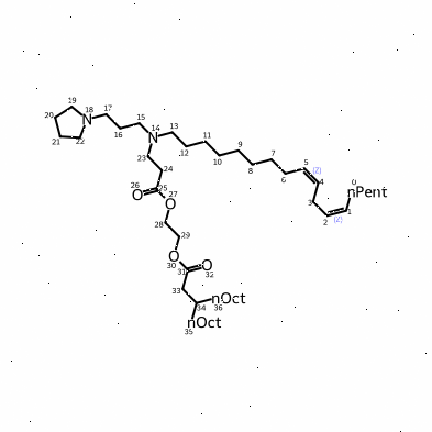 CCCCC/C=C\C/C=C\CCCCCCCCN(CCCN1CCCC1)CCC(=O)OCCOC(=O)CC(CCCCCCCC)CCCCCCCC